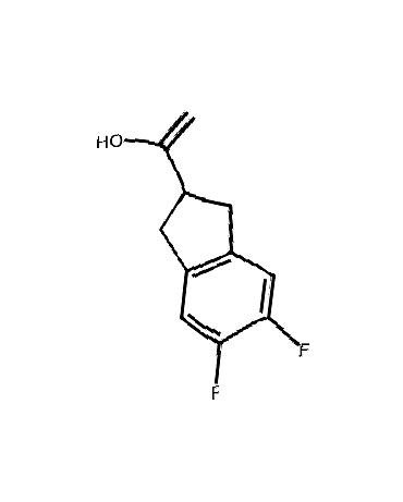 C=C(O)C1Cc2cc(F)c(F)cc2C1